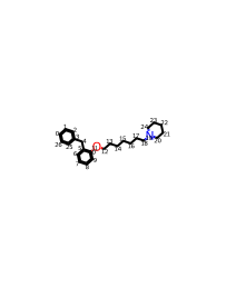 c1ccc(Cc2ccccc2OCCCCCCCN2CCCCC2)cc1